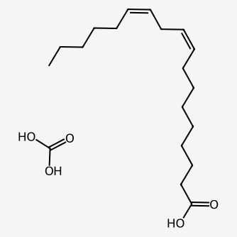 CCCCC/C=C\C/C=C\CCCCCCCC(=O)O.O=C(O)O